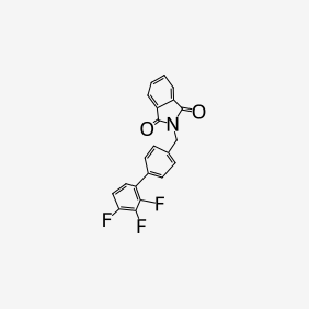 O=C1c2ccccc2C(=O)N1Cc1ccc(-c2ccc(F)c(F)c2F)cc1